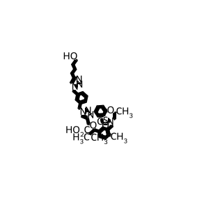 Cc1ccc(C(OCc2cn(Cc3cccc(Cn4cc(CCCCO)nn4)c3)nn2)C(C)(C)C(=O)O)cc1CN1C[C@@H](C)Oc2ccccc2S1(=O)=O